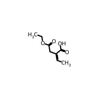 CC=C(CC(=O)OCC)C(=O)O